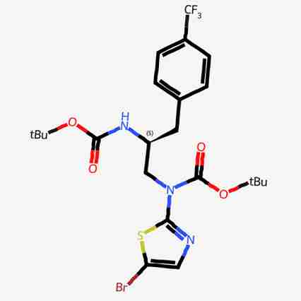 CC(C)(C)OC(=O)N[C@@H](Cc1ccc(C(F)(F)F)cc1)CN(C(=O)OC(C)(C)C)c1ncc(Br)s1